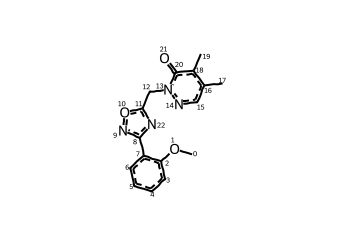 COc1ccccc1-c1noc(Cn2ncc(C)c(C)c2=O)n1